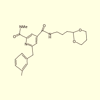 CNC(=O)c1cc(C(=O)NCCCC2OCCCO2)cc(Cc2cccc(C)c2)n1